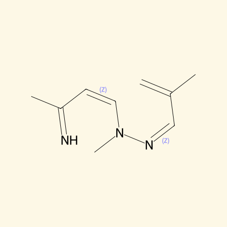 C=C(C)/C=N\N(C)/C=C\C(C)=N